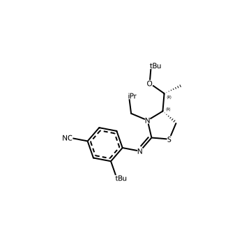 CC(C)CN1C(=Nc2ccc(C#N)cc2C(C)(C)C)SC[C@H]1[C@@H](C)OC(C)(C)C